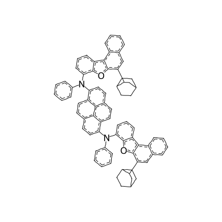 c1ccc(N(c2ccc3ccc4c(N(c5ccccc5)c5cccc6c5oc5c(C7CC8CCC7CC8)cc7ccccc7c56)ccc5ccc2c3c54)c2cccc3c2oc2c(C4CC5CCC4CC5)cc4ccccc4c23)cc1